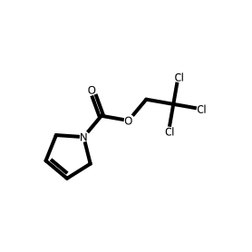 O=C(OCC(Cl)(Cl)Cl)N1CC=CC1